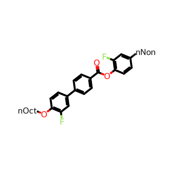 CCCCCCCCCc1ccc(OC(=O)c2ccc(-c3ccc(OCCCCCCCC)c(F)c3)cc2)c(F)c1